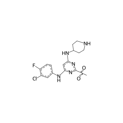 CS(=O)(=O)c1nc(Nc2ccc(F)c(Cl)c2)cc(NC2CCNCC2)n1